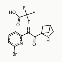 O=C(Nc1cccc(Br)n1)C12CC(CN1)C2.O=C(O)C(F)(F)F